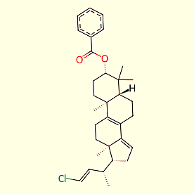 C[C@H](/C=C/Cl)[C@H]1CC=C2C3=C(CC[C@@]21C)[C@@]1(C)CC[C@H](OC(=O)c2ccccc2)C(C)(C)[C@@H]1CC3